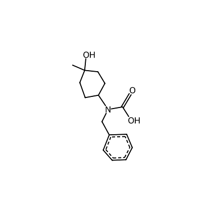 CC1(O)CCC(N(Cc2ccccc2)C(=O)O)CC1